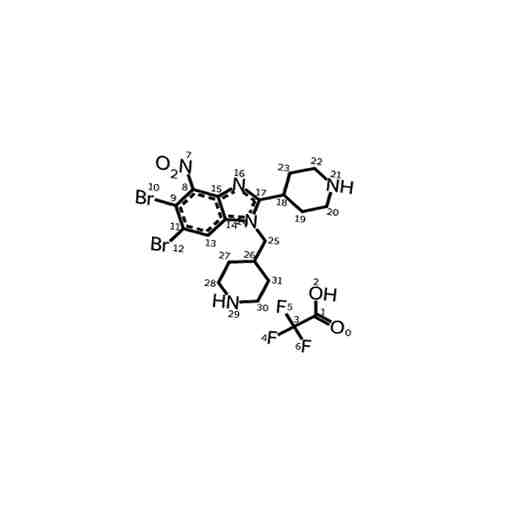 O=C(O)C(F)(F)F.O=[N+]([O-])c1c(Br)c(Br)cc2c1nc(C1CCNCC1)n2CC1CCNCC1